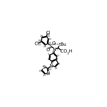 CC(C)(C)C(C(=O)O)N(c1ccc2c(ccn2-c2nccs2)c1)S(=O)(=O)c1cc(Cl)cc(Cl)c1